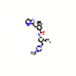 Cc1ccc(C(=O)Nc2ccc(CN3CCN(C)CC3)c(C(F)(F)F)c2)cc1Cc1cnc2cccnn12